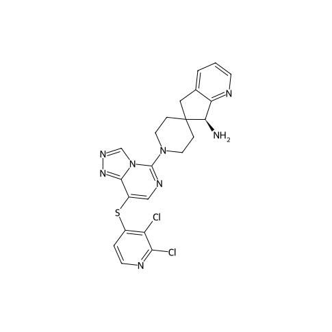 N[C@@H]1c2ncccc2CC12CCN(c1ncc(Sc3ccnc(Cl)c3Cl)c3nncn13)CC2